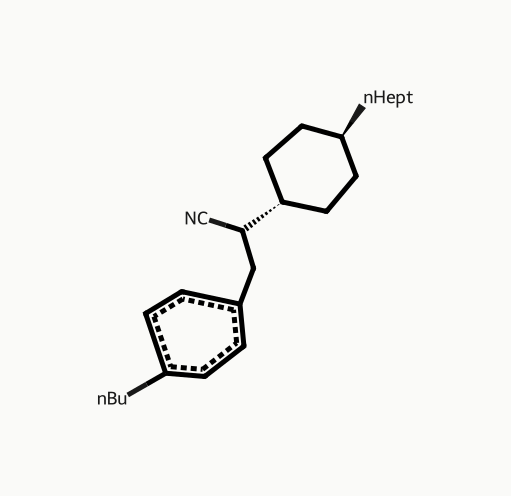 CCCCCCC[C@H]1CC[C@H](C(C#N)Cc2ccc(CCCC)cc2)CC1